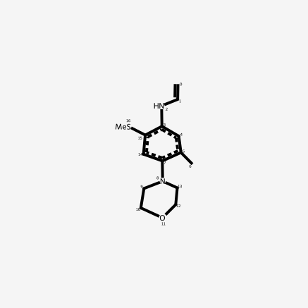 C=CNc1cc(C)c(N2CCOCC2)cc1SC